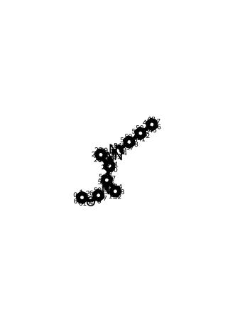 c1ccc(Oc2ccc(-n3c4ccccc4c4cc(-c5ccc6c(c5)c5ccccc5n6-c5ncc(-c6ccc(-c7ccc(-c8ccccc8)cc7)cc6)cn5)ccc43)cc2)cc1